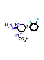 N/N=C1\NC[C@H](c2cccc(F)c2F)C[C@@H]1NC(=O)O